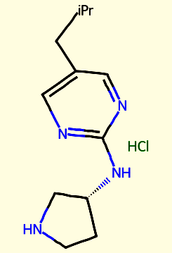 CC(C)Cc1cnc(N[C@@H]2CCNC2)nc1.Cl